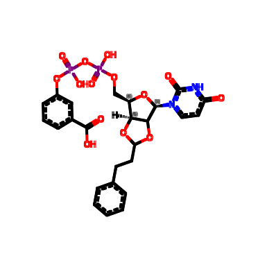 O=C(O)c1cccc(OP(=O)(O)OP(=O)(O)OC[C@H]2O[C@@H](n3ccc(=O)[nH]c3=O)C3OC(CCc4ccccc4)O[C@H]32)c1